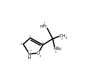 CCCCC(C)(CCC)C1=CCNO1